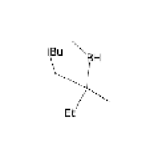 CBC(C)(CC)CC(C)CC